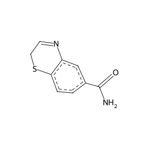 NC(=O)c1ccc2c(c1)N=CCS2